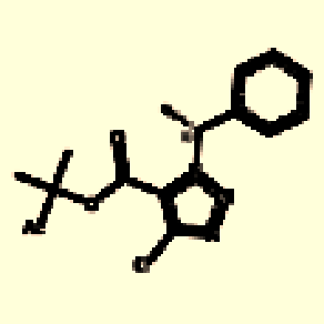 CC(=O)C(C)(C)OC(=O)c1c(Cl)nnn1[C@H](C)c1ccccc1